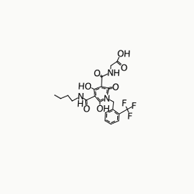 CCCCNC(=O)c1c(O)c(C(=O)NCC(=O)O)c(=O)n(Cc2ccccc2C(F)(F)F)c1O